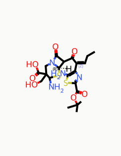 CC/C=C(\C(=O)C1C(=O)N2CC(CO)(C(=O)O)C(N)S[C@H]12)c1nc(C(=O)OC(C)(C)C)sc1N